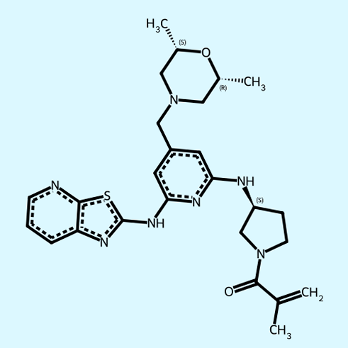 C=C(C)C(=O)N1CC[C@H](Nc2cc(CN3C[C@@H](C)O[C@@H](C)C3)cc(Nc3nc4cccnc4s3)n2)C1